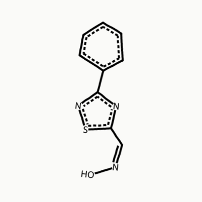 O/N=C\c1nc(-c2ccccc2)ns1